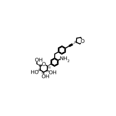 Nc1ccc([C@@H]2O[C@H](CO)[C@@H](O)[C@H](O)[C@H]2O)cc1Cc1ccc(C#C[C@@H]2CCOC2)cc1